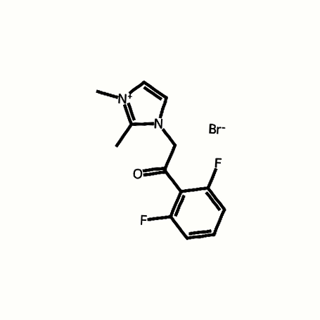 Cc1n(CC(=O)c2c(F)cccc2F)cc[n+]1C.[Br-]